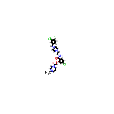 CN1CCCN(C(=O)COc2cc(Cl)ccc2C(=O)NCCN2C=CN(Cc3ccc(Cl)c(Cl)c3)C=C2)CC1